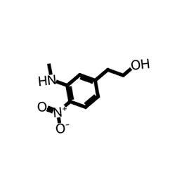 CNc1cc(CCO)ccc1[N+](=O)[O-]